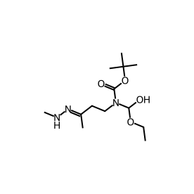 CCOC(O)N(CC/C(C)=N/NC)C(=O)OC(C)(C)C